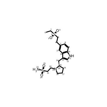 CCS(=O)(=O)CCc1ccc2[nH]cc(C[C@H]3CCCN3CCS(N)(=O)=O)c2c1